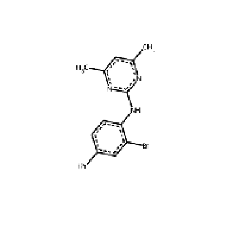 Cc1cc(C)nc(Nc2ccc(C(C)C)cc2Br)n1